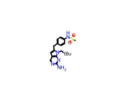 CC(C)(C)Cn1c(Cc2ccc(NS(C)(=O)=O)cc2)cc2cnc(N)nc21